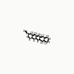 [C]#Cc1[c]cc2cc3cc4cc5ccccc5cc4cc3cc2c1